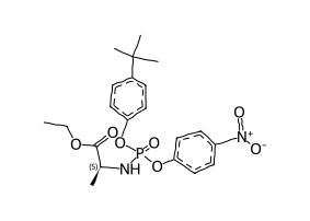 CCOC(=O)[C@H](C)NP(=O)(Oc1ccc([N+](=O)[O-])cc1)Oc1ccc(C(C)(C)C)cc1